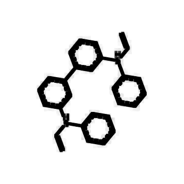 C=C[SH](c1ccccc1)c1cccc(-c2cccc([SH](C=C)c3ccccc3)c2)c1